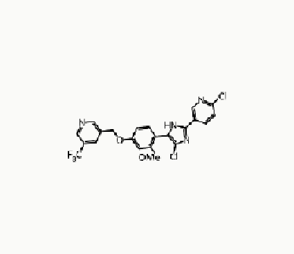 COc1cc(OCc2cncc(C(F)(F)F)c2)ccc1-c1[nH]c(-c2ccc(Cl)nc2)nc1Cl